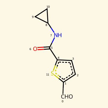 O=Cc1ccc(C(=O)NC2CC2)s1